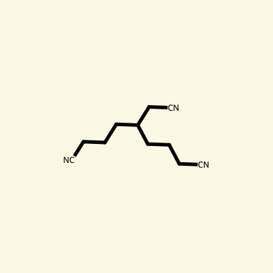 N#CCCCC(CC#N)CCCC#N